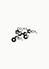 CN1C[C@H](F)[C@@H](n2cc(-c3cc(N(C)Cc4ccccc4)n4ncc(C(=O)O)c4n3)c3cccnc32)C1